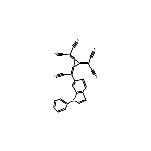 N#CC(C#N)=C1C(=C(C#N)C#N)C1=C(C#N)c1ccc2ccn(-c3ccccc3)c2c1